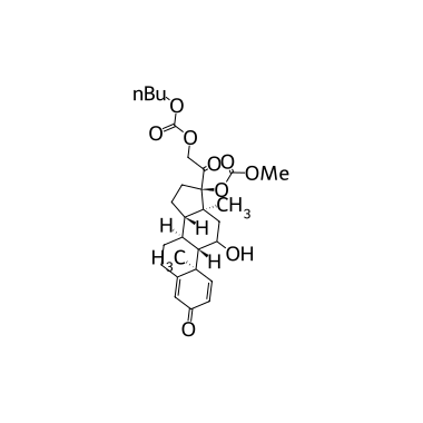 CCCCOC(=O)OCC(=O)[C@@]1(OC(=O)OC)CC[C@H]2[C@@H]3CCC4=CC(=O)C=C[C@]4(C)[C@H]3C(O)C[C@@]21C